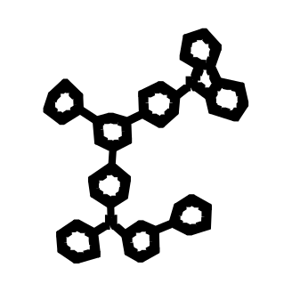 c1ccc(-c2cc(-c3ccc(N(c4ccccc4)c4cccc(-c5ccccc5)c4)cc3)cc(-c3ccc(-n4c5ccccc5c5ccccc54)cc3)c2)cc1